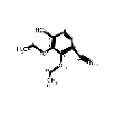 CCOc1c(O)ccc(C#N)c1OCC